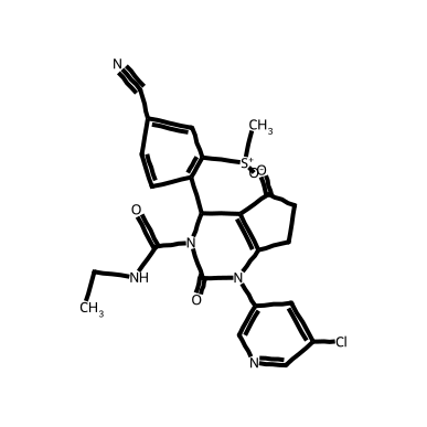 CCNC(=O)N1C(=O)N(c2cncc(Cl)c2)C2=C(C(=O)CC2)C1c1ccc(C#N)cc1[S+](C)[O-]